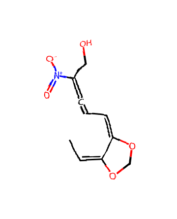 C/C=C1/OCO/C1=C/C=C=C(CO)[N+](=O)[O-]